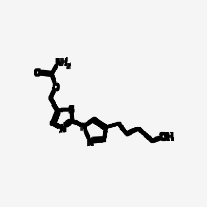 NC(=O)OCc1cnc(-n2cc(CCCCO)cn2)s1